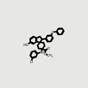 COC(=O)C1(Nc2cccc(Cl)c2)CCC2(CC1)c1cc(O)ccc1CC2c1cccc(Oc2ccccc2)c1